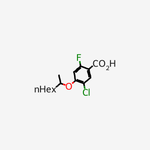 CCCCCCC(C)Oc1cc(F)c(C(=O)O)cc1Cl